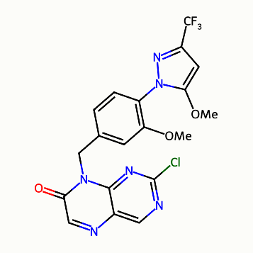 COc1cc(Cn2c(=O)cnc3cnc(Cl)nc32)ccc1-n1nc(C(F)(F)F)cc1OC